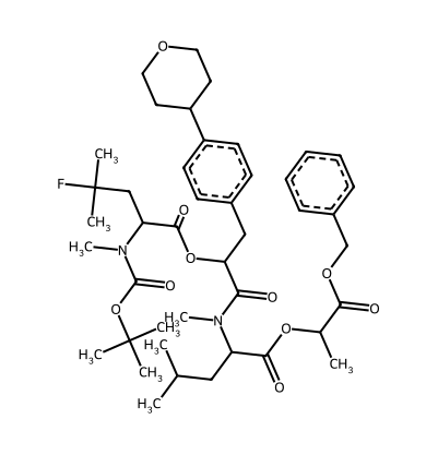 CC(C)CC(C(=O)OC(C)C(=O)OCc1ccccc1)N(C)C(=O)C(Cc1ccc(C2CCOCC2)cc1)OC(=O)C(CC(C)(C)F)N(C)C(=O)OC(C)(C)C